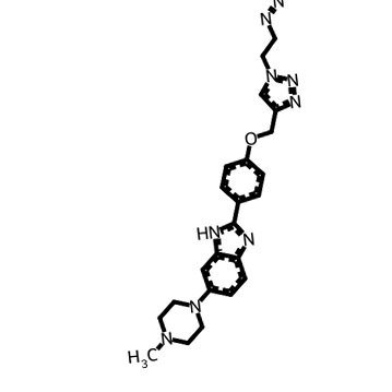 CN1CCN(c2ccc3nc(-c4ccc(OCc5cn(CCN=[N+]=[N-])nn5)cc4)[nH]c3c2)CC1